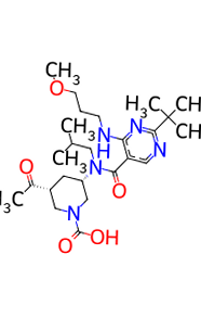 COCCCNc1nc(C(C)(C)C)ncc1C(=O)N(CC(C)C)[C@H]1C[C@@H](C(C)=O)CN(C(=O)O)C1